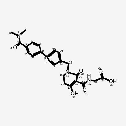 CN(C)C(=O)c1ccc(-c2ccc(CN3CCC(O)=C(C(=O)NCC(=O)O)C3=O)cc2)cc1